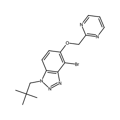 CC(C)(C)Cn1nnc2c(Br)c(OCc3ncccn3)ccc21